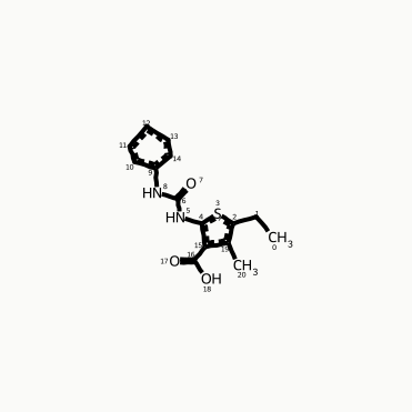 CCc1sc(NC(=O)Nc2ccccc2)c(C(=O)O)c1C